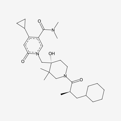 C[C@H](CC1CCCCC1)C(=O)N1CC[C@](O)(Cn2cc(C(=O)N(C)C)c(C3CC3)cc2=O)C(C)(C)C1